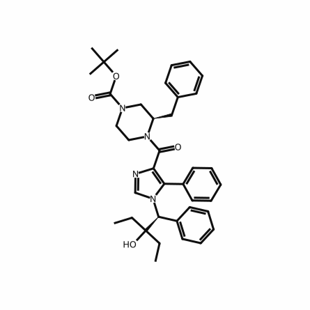 CCC(O)(CC)[C@H](c1ccccc1)n1cnc(C(=O)N2CCN(C(=O)OC(C)(C)C)C[C@H]2Cc2ccccc2)c1-c1ccccc1